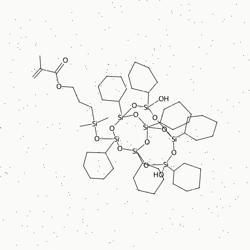 C=C(C)C(=O)OCCC[Si](C)(C)O[Si]1(C2CCCCC2)O[Si]2(C3CCCCC3)O[Si](O)(C3CCCCC3)O[Si]3(C4CCCCC4)O[Si](O)(C4CCCCC4)O[Si](C4CCCCC4)(O1)O[Si](C1CCCCC1)(O3)O2